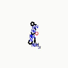 CC#CCn1c(N2CCC[C@@H](N)C2)nc2cnn(Cc3ncc4ccccc4n3)c(=O)c21